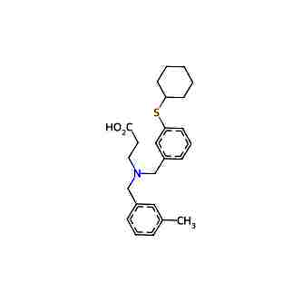 Cc1cccc(CN(CCC(=O)O)Cc2cccc(SC3CCCCC3)c2)c1